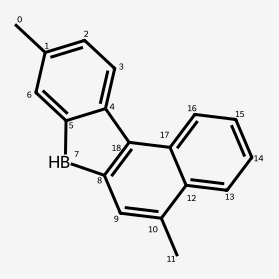 Cc1ccc2c(c1)Bc1cc(C)c3ccccc3c1-2